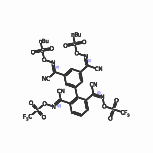 CCCCS(=O)(=O)O/N=C(\C#N)c1cc(/C(C#N)=N\OS(=O)(=O)CCCC)cc(-c2c(/C(C#N)=N/OS(=O)(=O)C(F)(F)F)cccc2/C(C#N)=N\OS(=O)(=O)C(F)(F)F)c1